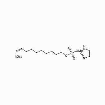 C1=NCCN1.CCCCCCCC/C=C\CCCCCCCCOS(=O)(=O)OC